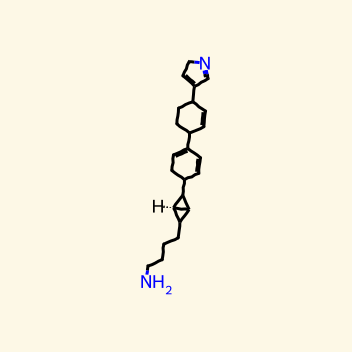 NCCCCC1C2C(C3C=CC(C4C=CC(C5=CCN=C5)CC4)=CC3)[C@H]12